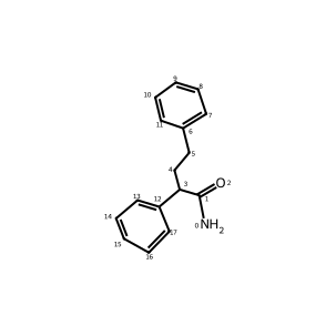 NC(=O)C(CCc1ccccc1)c1ccccc1